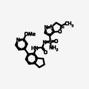 COc1cc(-c2ccc3c(c2NC(=O)N=S(N)(=O)c2cnn4c2O[C@H](C)C4)CCC3)ccn1